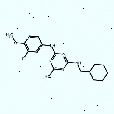 COc1ccc(Nc2nc(O)nc(NCC3CCCCC3)n2)cc1F